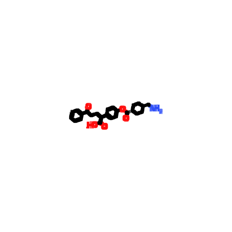 NC[C@H]1CC[C@H](C(=O)Oc2ccc(C(CCC(=O)c3ccccc3)C(=O)O)cc2)CC1